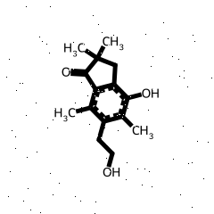 Cc1c(O)c2c(c(C)c1CCO)C(=O)C(C)(C)C2